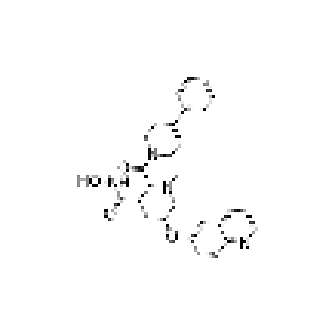 CN1C[C@@H](Oc2ccc3ncccc3c2)CC(C(=O)NO)C1C(=O)N1CC=C(c2ccccc2)CC1